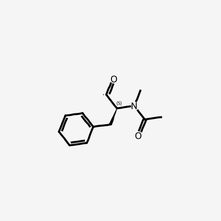 CC(=O)N(C)[C@H]([C]=O)Cc1ccccc1